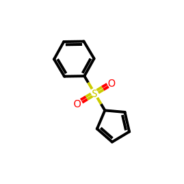 O=S(=O)(c1ccccc1)C1C=CC=C1